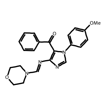 COc1ccc(-n2cnc(/N=C/N3CCOCC3)c2C(=O)c2ccccc2)cc1